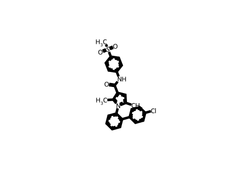 Cc1cc(C(=O)Nc2ccc(S(C)(=O)=O)cc2)c(C)n1-c1ccccc1-c1ccc(Cl)cc1